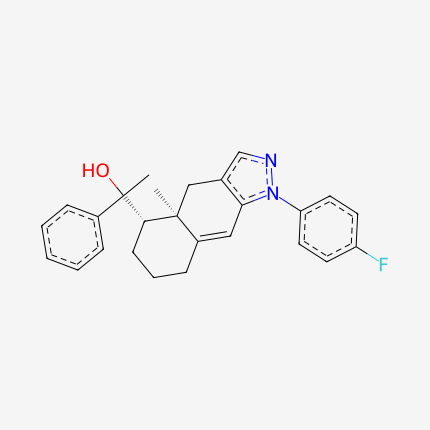 CC(O)(c1ccccc1)[C@H]1CCCC2=Cc3c(cnn3-c3ccc(F)cc3)C[C@@]21C